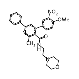 COc1ccc(-c2cc(-c3ccccc3)nc(C)c2C(=O)NCCN2CCOCC2)cc1[N+](=O)[O-]